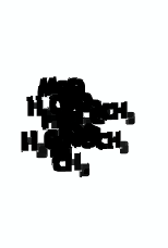 COc1cc(CN(C)C)ccc1OC(C)C(=O)Nc1cc(-n2nc(C)cc2C)nc(-c2ccc(C)o2)n1